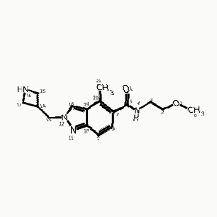 COCCNC(=O)c1ccc2nn(CC3CNC3)cc2c1C